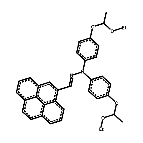 CCOC(C)Oc1ccc(N(N=Cc2cc3cccc4ccc5cccc2c5c43)c2ccc(OC(C)OCC)cc2)cc1